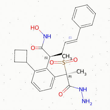 C[C@](C(=O)NN)(c1cccc(C2CCC2)c1[C@H](C/C=C/c1ccccc1)C(=O)NO)S(C)(=O)=O